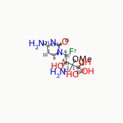 COC(CN)([C@@H](O)[C@@H](F)n1ccc(N)nc1=O)C(O)(O)O